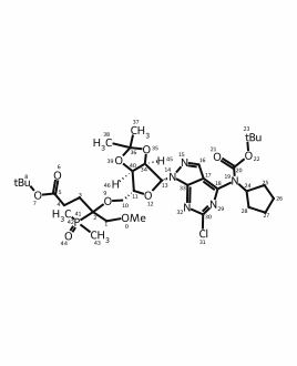 COCC(CCC(=O)OC(C)(C)C)(OC[C@H]1O[C@@H](n2ncc3c(N(C(=O)OC(C)(C)C)C4CCCC4)nc(Cl)nc32)[C@@H]2OC(C)(C)O[C@@H]21)P(C)(C)=O